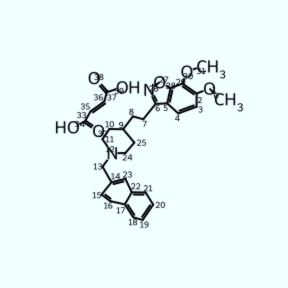 COc1ccc2c(CCC3CCN(Cc4ccc5ccccc5c4)CC3)noc2c1OC.O=C(O)/C=C/C(=O)O